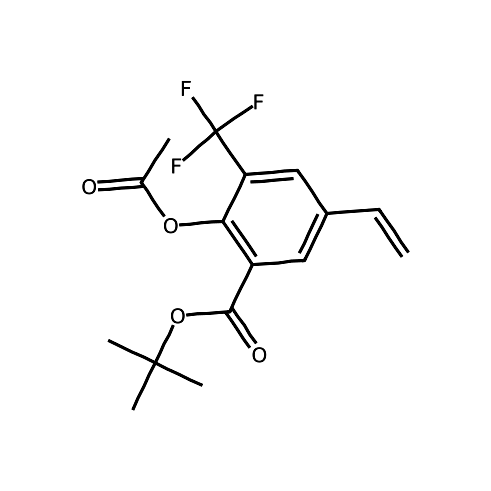 C=Cc1cc(C(=O)OC(C)(C)C)c(OC(C)=O)c(C(F)(F)F)c1